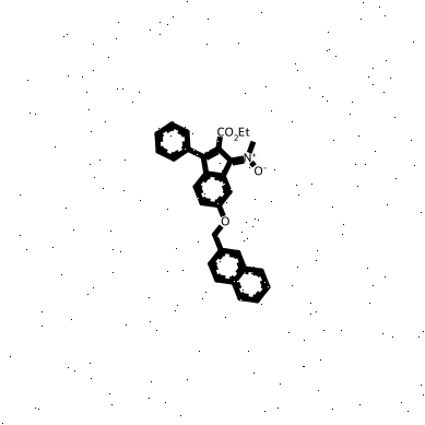 CCOC(=O)C1=C(c2ccccc2)c2ccc(OCc3ccc4ccccc4c3)cc2/C1=[N+](/C)[O-]